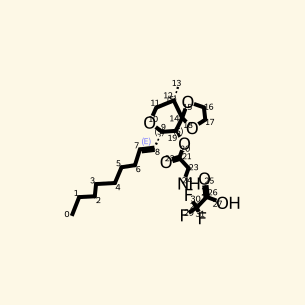 CCCCCCC/C=C/[C@@H]1OC[C@H](C)C2(OCCO2)[C@H]1OC(=O)CN.O=C(O)C(F)(F)F